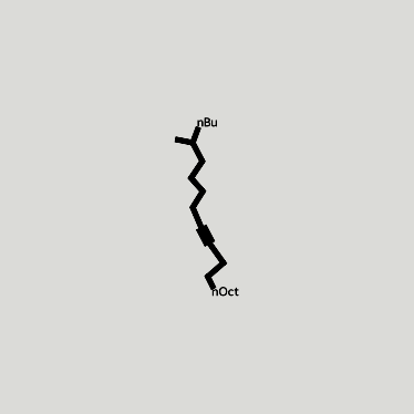 [CH2]CCCCCCCCCC#CCCCCC(C)CCC[CH2]